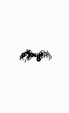 COCC1(c2nc(Cc3ccc(F)cc3)no2)CCN(CC[C@H](NC(=O)OC(C)(C)C)c2ccccc2)CC1